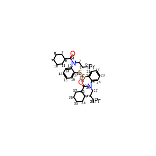 CC(C)CCN(C(=O)C1CCCCC1)c1ccccc1SSc1ccccc1N(CCC(C)C)C(=O)C1CCCCC1